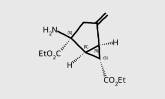 C=C1C[C@@](N)(C(=O)OCC)[C@H]2[C@@H]1[C@@H]2C(=O)OCC